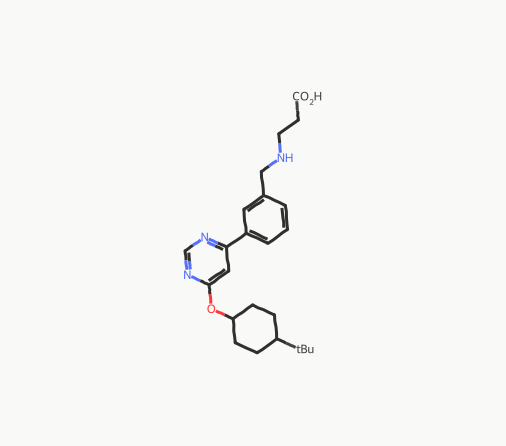 CC(C)(C)C1CCC(Oc2cc(-c3cccc(CNCCC(=O)O)c3)ncn2)CC1